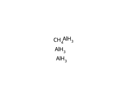 C.[AlH3].[AlH3].[AlH3]